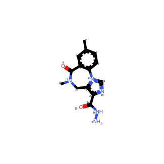 Cc1ccc2c(c1)C(=O)N(C)Cc1c(C(=O)NN)ncn1-2